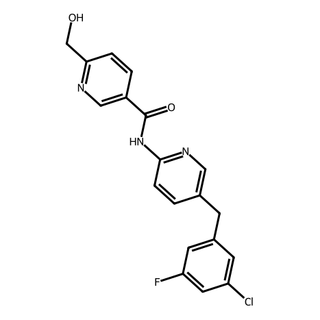 O=C(Nc1ccc(Cc2cc(F)cc(Cl)c2)cn1)c1ccc(CO)nc1